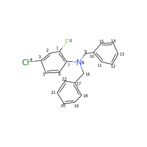 Fc1cc(Cl)ccc1N(Cc1ccccc1)Cc1ccccc1